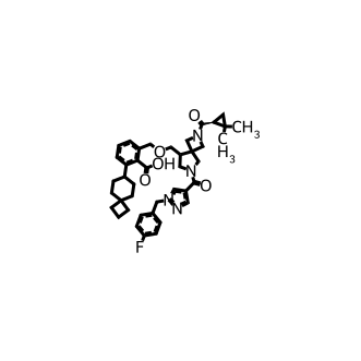 CC1(C)C[C@@H]1C(=O)N1CC2(CN(C(=O)c3cnn(Cc4ccc(F)cc4)c3)CC2COCc2cccc(C3CCC4(CCC4)CC3)c2C(=O)O)C1